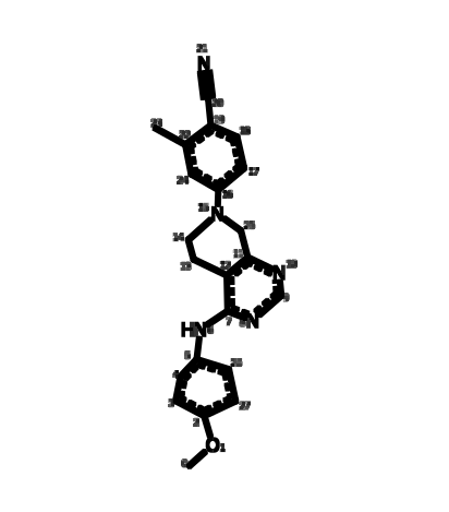 COc1ccc(Nc2ncnc3c2CCN(c2ccc(C#N)c(C)c2)C3)cc1